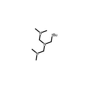 CN(C)CN(CN(C)C)CC(C)(C)C